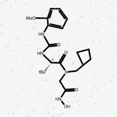 COc1ccccc1NC(=O)N[C@H](C(=O)N(CC(=O)NO)CC1CCC1)C(C)(C)C